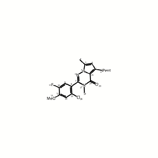 CCCC(C)c1cc(C)n2nc(-c3cc(F)c(OC)cc3Cl)n(C)c(=O)c12